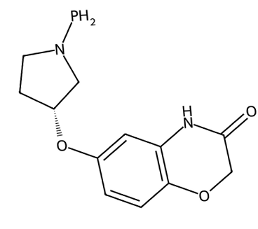 O=C1COc2ccc(O[C@@H]3CCN(P)C3)cc2N1